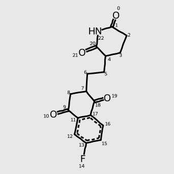 O=C1CCC(CCC2CC(=O)c3cc(F)ccc3C2=O)C(=O)N1